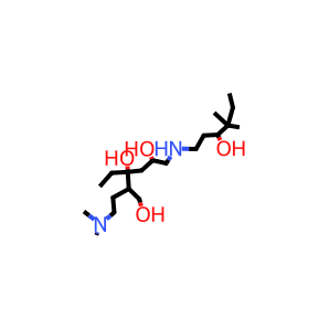 CCC(C)(C)C(O)CCNCC(O)CC(O)(CC)C(CO)CCN(C)C